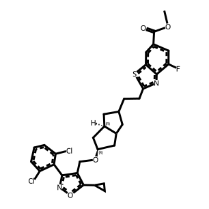 COC(=O)c1cc(F)c2nc(CCC3CC4C[C@@H](OCc5c(-c6c(Cl)cccc6Cl)noc5C5CC5)C[C@H]4C3)sc2c1